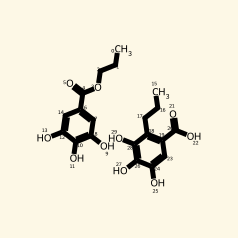 CCCOC(=O)c1cc(O)c(O)c(O)c1.CCCc1c(C(=O)O)cc(O)c(O)c1O